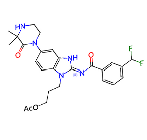 CC(=O)OCCCn1/c(=N/C(=O)c2cccc(C(F)F)c2)[nH]c2cc(N3CCNC(C)(C)C3=O)ccc21